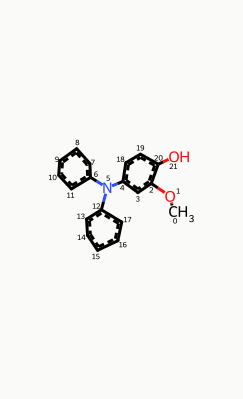 COc1cc(N(c2ccccc2)c2ccccc2)ccc1O